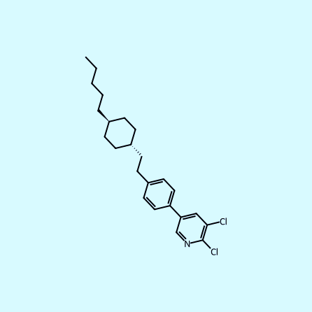 CCCCC[C@H]1CC[C@H](CCc2ccc(-c3cnc(Cl)c(Cl)c3)cc2)CC1